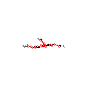 C=CC(=O)OCCOC(=O)CCC(=O)Oc1ccc2cc(C(=O)Oc3ccc(OC(=O)c4ccc5cc(OC(=O)CCC(=O)OCCOC(=O)C=C)ccc5c4)c(C(=O)OCCOC(=O)C=C)c3)ccc2c1